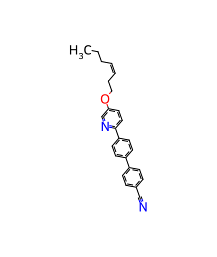 CCC/C=C\CCOc1ccc(-c2ccc(-c3ccc(C#N)cc3)cc2)nc1